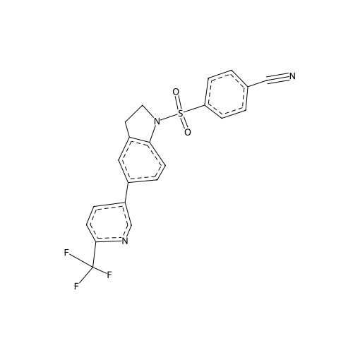 N#Cc1ccc(S(=O)(=O)N2CCc3cc(-c4ccc(C(F)(F)F)nc4)ccc32)cc1